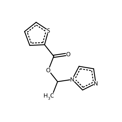 CC(OC(=O)c1cccs1)n1ccnc1